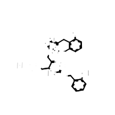 Cc1ccccc1COC(=O)NC(CC(=O)O)C(=O)Cn1nnc(Cc2c(Cl)cccc2Cl)n1